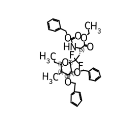 CCOC(=O)[C@H](CC(F)(F)[C@@H]1O[C@H](CC)[C@H](C)[C@H](OCc2ccccc2)[C@H]1OCc1ccccc1)NC(=O)OCc1ccccc1